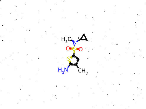 Cc1cc(S(=O)(=O)N(C)C2CC2)sc1N